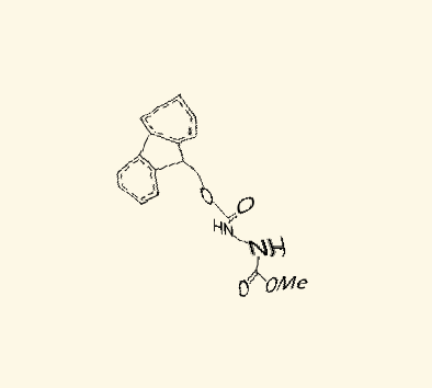 COC(=O)NNC(=O)OCC1c2ccccc2-c2ccccc21